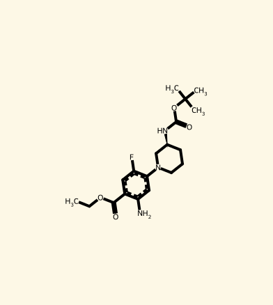 CCOC(=O)c1cc(F)c(N2CCC[C@H](NC(=O)OC(C)(C)C)C2)cc1N